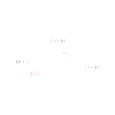 O=C(O)COC(CO)(CC(=O)O)C(=O)O